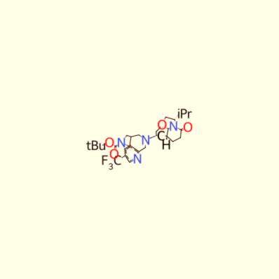 CC(C)[C@H]1CO[C@]23CC[C@H](N(Cc4ccc(C(F)(F)F)cn4)CC4CN(C(=O)OC(C)(C)C)C4)C[C@H]2CCC(=O)N13